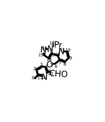 Cc1ccc(OCc2cccnc2-c2ccnn2C(C)C)c(C=O)n1